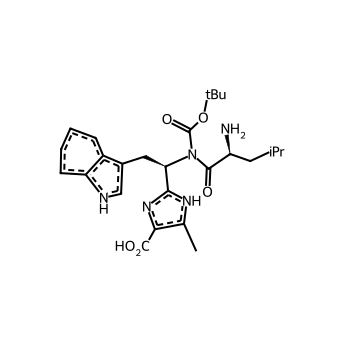 Cc1[nH]c([C@@H](Cc2c[nH]c3ccccc23)N(C(=O)OC(C)(C)C)C(=O)[C@@H](N)CC(C)C)nc1C(=O)O